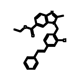 CCOC(=O)c1ccc2nc(C)n(Cc3ccc(C=Cc4ccccc4)cc3Cl)c2c1